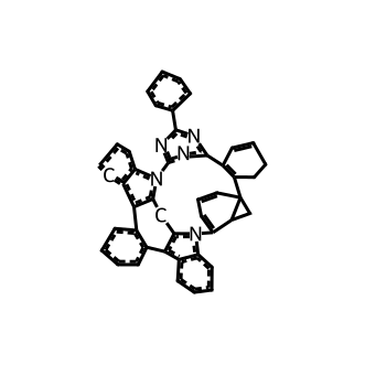 C1=CC23CC2C(=C1)n1c2c(c4ccccc41)-c1ccccc1-c1c(n(c4ccccc14)-c1nc(nc(-c4ccccc4)n1)C1=C3CCC=C1)C2